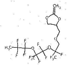 C=C1OCC(COCC(F)(OC(F)(F)C(F)(OC(F)(F)C(C)(F)F)C(F)(F)F)C(F)(F)F)O1